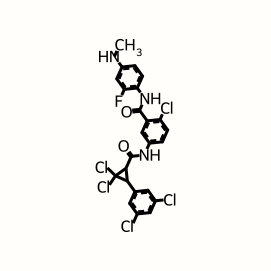 CNc1ccc(NC(=O)c2cc(NC(=O)C3C(c4cc(Cl)cc(Cl)c4)C3(Cl)Cl)ccc2Cl)c(F)c1